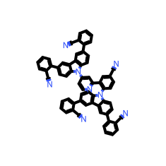 N#Cc1ccc(-n2c3ccc(-c4ccccc4C#N)cc3c3cc(-c4ccccc4C#N)ccc32)c(-c2cc(-n3c4ccc(-c5ccccc5C#N)cc4c4cc(-c5ccccc5C#N)ccc43)ccn2)c1